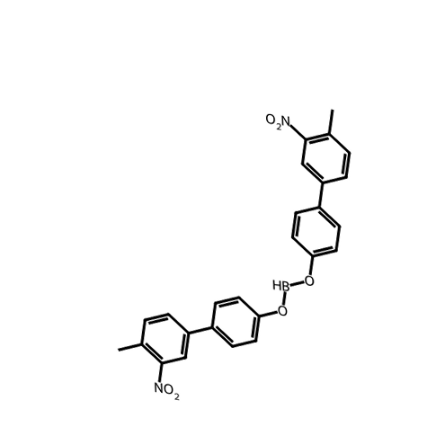 Cc1ccc(-c2ccc(OBOc3ccc(-c4ccc(C)c([N+](=O)[O-])c4)cc3)cc2)cc1[N+](=O)[O-]